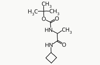 CC(NC(=O)OC(C)(C)C)C(=O)NC1CCC1